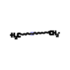 [CH2]CCCCCC/C=C/CCCCCCCCC[CH2]